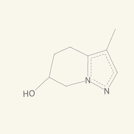 Cc1cnn2c1CCC(O)C2